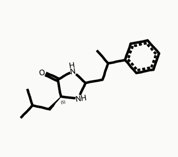 CC(C)C[C@@H]1NC(CC(C)c2ccccc2)NC1=O